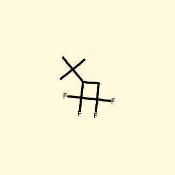 CC(C)(C)C1CC(F)(F)C1(F)F